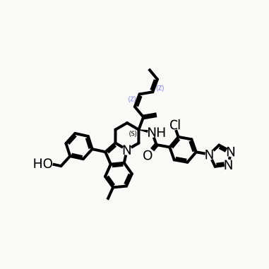 C=C(/C=C\C=C/C)[C@@]1(NC(=O)c2ccc(-n3cnnc3)cc2Cl)CCc2c(-c3cccc(CO)c3)c3cc(C)ccc3n2C1